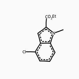 CCOC(=O)c1cc2c(Cl)cccc2n1C